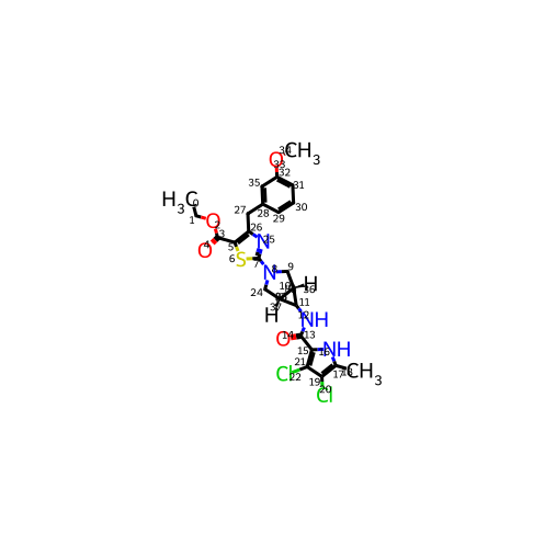 CCOC(=O)c1sc(N2C[C@@H]3C(NC(=O)c4[nH]c(C)c(Cl)c4Cl)[C@@H]3C2)nc1Cc1cccc(OC)c1